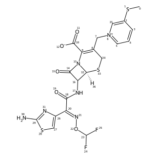 CSc1ccc[n+](CC2=C(C(=O)[O-])N3C(=O)C(NC(=O)C(=NOC(F)F)c4csc(N)n4)[C@@H]3SC2)c1